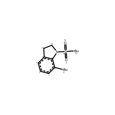 CC(C)(C)c1cccc2c1N(S(=O)(=O)C(C)(C)C)CC2